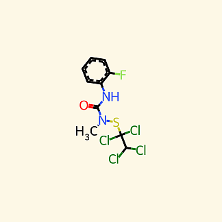 CN(SC(Cl)(Cl)C(Cl)Cl)C(=O)Nc1ccccc1F